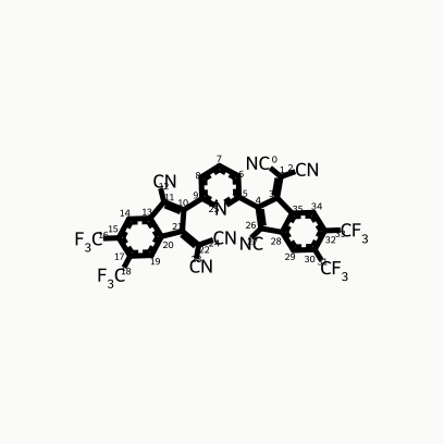 N#CC(C#N)=C1C(c2cccc(C3=C(C#N)c4cc(C(F)(F)F)c(C(F)(F)F)cc4C3=C(C#N)C#N)n2)=C(C#N)c2cc(C(F)(F)F)c(C(F)(F)F)cc21